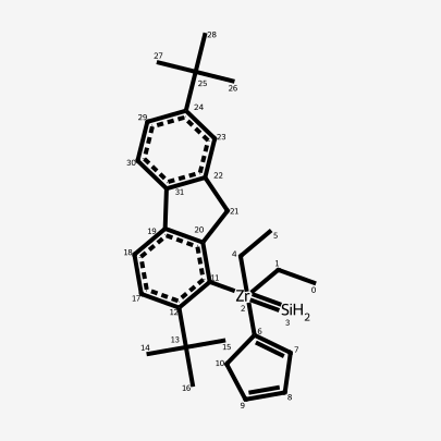 C[CH2][Zr](=[SiH2])([CH2]C)([C]1=CC=CC1)[c]1c(C(C)(C)C)ccc2c1Cc1cc(C(C)(C)C)ccc1-2